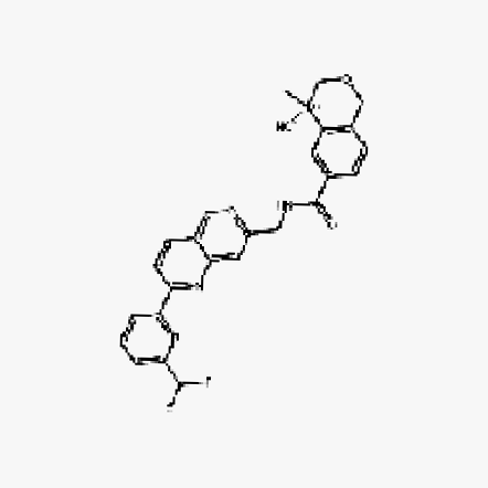 C[C@@]1(C#N)COCc2ccc(C(=O)NCc3cc4nc(-c5cccc(C(F)F)n5)ccc4cn3)cc21